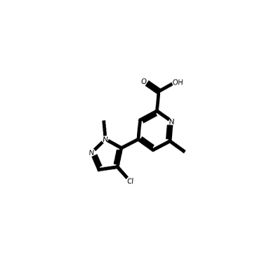 Cc1cc(-c2c(Cl)cnn2C)cc(C(=O)O)n1